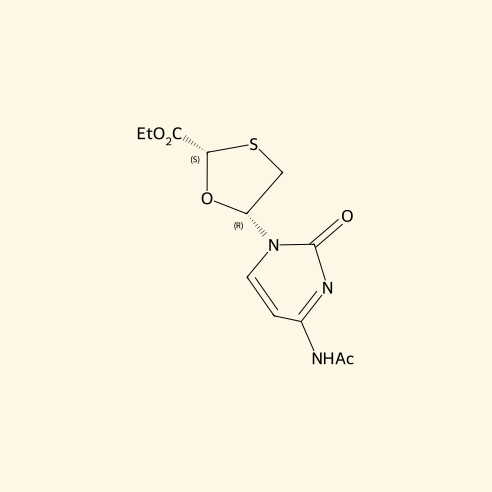 CCOC(=O)[C@H]1O[C@@H](n2ccc(NC(C)=O)nc2=O)CS1